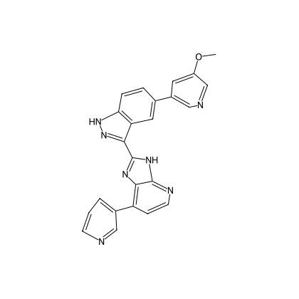 COc1cncc(-c2ccc3[nH]nc(-c4nc5c(-c6cccnc6)ccnc5[nH]4)c3c2)c1